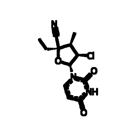 CC[C@@]1(C#N)O[C@@H](n2ccc(=O)[nH]c2=O)[C@H](Cl)[C@@H]1C